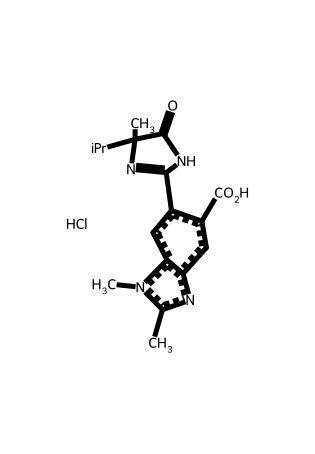 Cc1nc2cc(C(=O)O)c(C3=NC(C)(C(C)C)C(=O)N3)cc2n1C.Cl